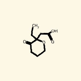 CCC1(CC(=O)O)OCCCC1=O